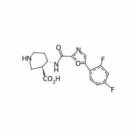 O=C(N[C@H]1CCNC[C@@H]1C(=O)O)c1ncc(-c2ccc(F)cc2F)o1